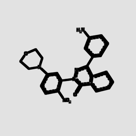 Nc1cccc(-c2nn(-c3cc(N4CCOCC4)ccc3[N+](=O)[O-])c(=O)c3ccccc23)c1